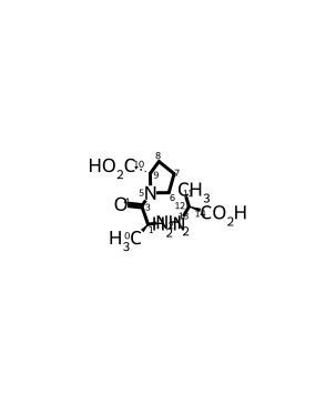 C[C@H](N)C(=O)N1CCC[C@H]1C(=O)O.C[C@H](N)C(=O)O